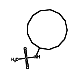 CS(=O)(=O)NC1CCCCCCCCCCCC1